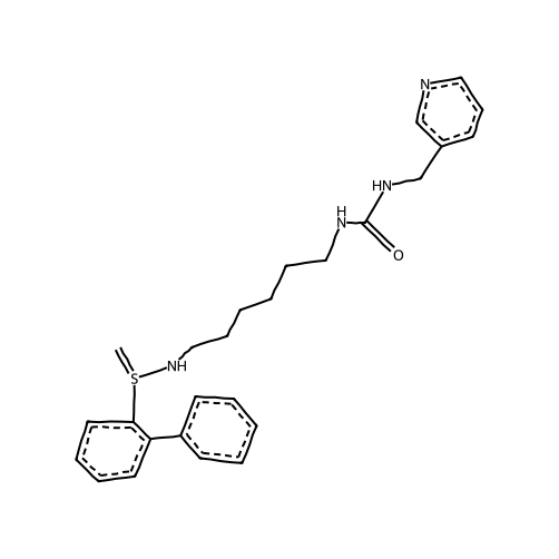 C=S(NCCCCCCNC(=O)NCc1cccnc1)c1ccccc1-c1ccccc1